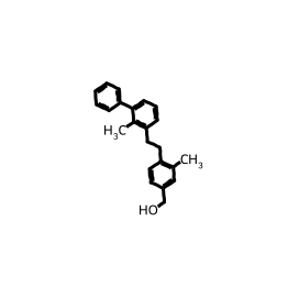 Cc1cc(CO)ccc1CCc1cccc(-c2ccccc2)c1C